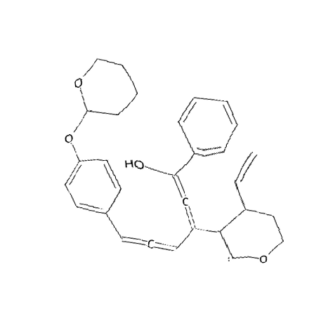 C=CC1CCO[C]C1C(=C=C(O)c1ccccc1)C=C=Cc1ccc(OC2CCCCO2)cc1